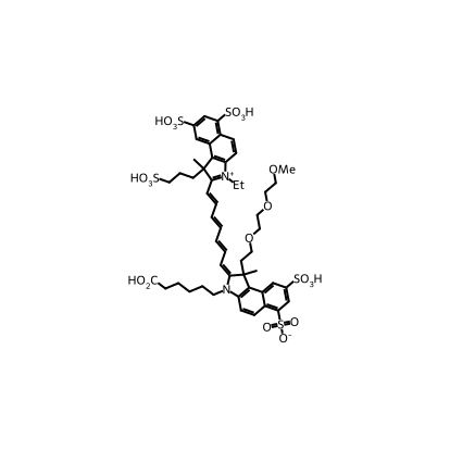 CC[N+]1=C(/C=C/C=C/C=C/C=C2/N(CCCCCC(=O)O)c3ccc4c(S(=O)(=O)[O-])cc(S(=O)(=O)O)cc4c3C2(C)CCOCCOCCOC)C(C)(CCCS(=O)(=O)O)c2c1ccc1c(S(=O)(=O)O)cc(S(=O)(=O)O)cc21